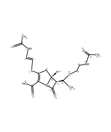 CC(=O)NC=CSC1=C(C(=O)O)N2C(=O)[C@H](C(C)SCCNC(C)=O)[C@H]2C1